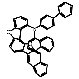 c1ccc(-c2ccc(N(c3cccc4ccccc34)c3cccc4oc5ccc6c7cc8ccccc8cc7oc6c5c34)cc2)cc1